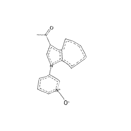 CC(=O)c1cn(-c2ccc[n+]([O-])c2)c2ccccc12